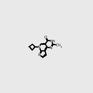 Cc1nc2c3ccnc-3n(C3CCC3)cc2c(=O)[nH]1